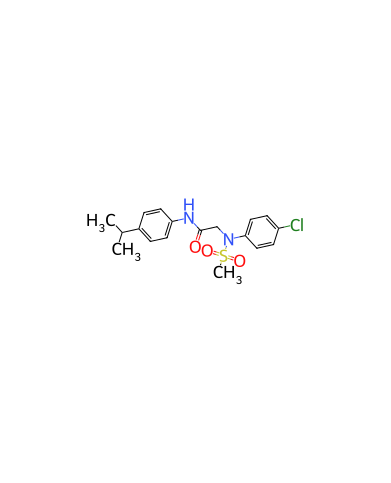 CC(C)c1ccc(NC(=O)CN(c2ccc(Cl)cc2)S(C)(=O)=O)cc1